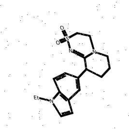 CCn1ccc2cc(C3CCCN4CCS(=O)(=O)N=C34)ccc21